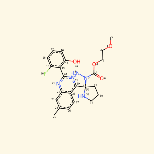 COCCOC(=O)N(N)[C@@]1(c2nc(-c3c(O)cccc3F)nc3cc(C)ccc23)CCCN1